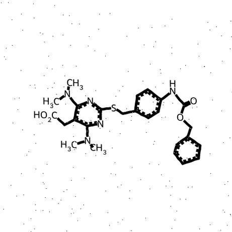 CN(C)c1nc(SCc2ccc(NC(=O)OCc3ccccc3)cc2)nc(N(C)C)c1CC(=O)O